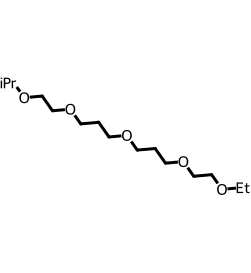 CCOCCOCCCOCCCOCCOC(C)C